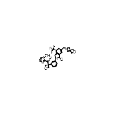 Cn1cnnc1[C@@H](F)C1(c2cccc(N3Cc4c(cc(CN5CC6(COC6)C5)cc4C(F)(F)F)C3=O)c2)COC1